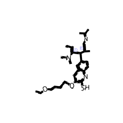 C/C=C(/C(/C(C)=C/N=C(C)C)c1ccc2nc(S)c(OCCCCOCC)cc2c1)N(C)C